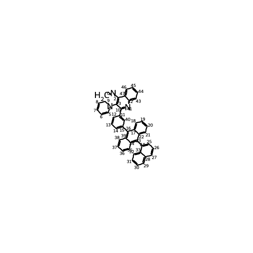 C=Nc1c(N2C=CC=CC2)c(-c2cccc(-c3c4ccccc4c(-c4cccc5ccccc45)c4ccccc34)c2)nc2ccccc12